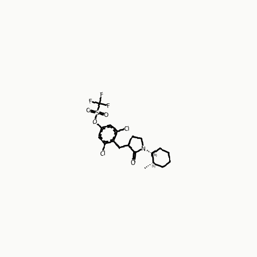 C[C@H]1CCCC[C@H]1N1CCC(Cc2c(Cl)cc(OS(=O)(=O)C(F)(F)F)cc2Cl)C1=O